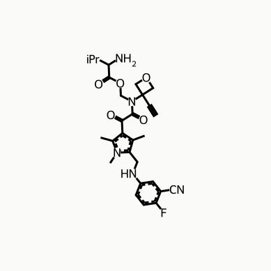 C#CC1(N(COC(=O)C(N)C(C)C)C(=O)C(=O)c2c(C)c(CNc3ccc(F)c(C#N)c3)n(C)c2C)COC1